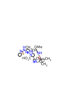 COCCCNCCOC12CC3(C)CC(C)(CC(Cn4ncc(-c5ccc(N(C)c6cc(C)c(Nc7nc8ccccc8s7)nn6)nc5C(=O)O)c4C)(C3)C1)C2